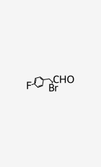 O=CC(Br)Cc1ccc(F)cc1